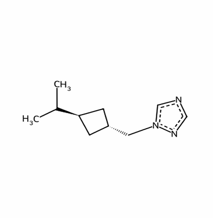 CC(C)[C@H]1C[C@H](Cn2cncn2)C1